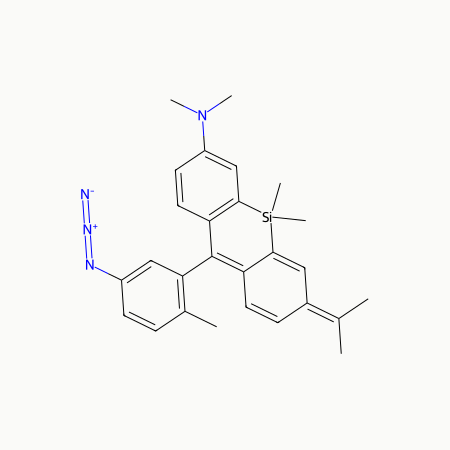 CC(C)=c1ccc2c(c1)[Si](C)(C)c1cc(N(C)C)ccc1C=2c1cc(N=[N+]=[N-])ccc1C